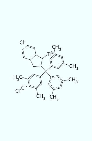 Cc1cc(C)cc(C(c2cc(C)cc(C)c2)(c2cc(C)cc(C)c2)C2CC3C=CC=CC3[CH]2[Ti+3])c1.[Cl-].[Cl-].[Cl-]